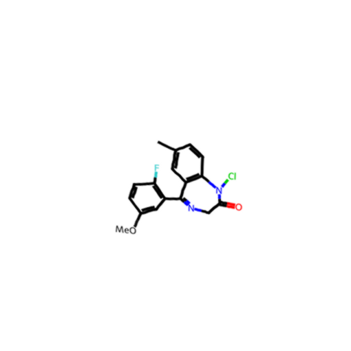 COc1ccc(F)c(C2=NCC(=O)N(Cl)c3ccc(C)cc32)c1